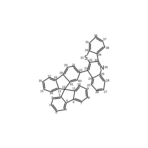 c1ccc2c(c1)-c1ccccc1C21c2ccccc2-c2ccc(-c3c4ccccc4nc4c3sc3ccccc34)cc21